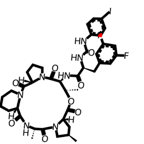 C[C@@H]1C[C@H]2C(=O)O[C@@H](C)[C@H](NC(=O)[C@H](Cc3cc(F)cc(F)c3)NC(=O)Nc3ccc(I)cc3)C(=O)N3CCC[C@H]3C(=O)N3CCCC[C@H]3C(=O)N[C@@H](C)C(=O)N2C1